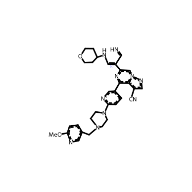 COc1ccc(CN2CCN(c3ccc(-c4nc(/C(C=N)=C/NC5CCOCC5)cn5ncc(C#N)c45)cn3)CC2)cn1